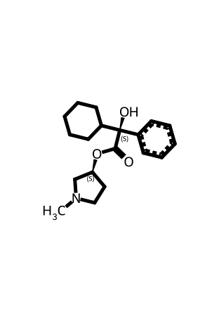 CN1CC[C@H](OC(=O)[C@@](O)(c2ccccc2)C2CCCCC2)C1